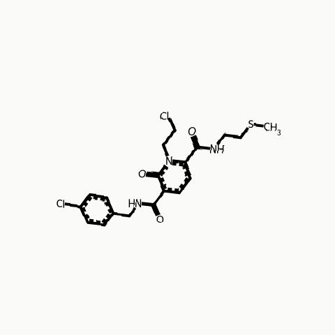 CSCCNC(=O)c1ccc(C(=O)NCc2ccc(Cl)cc2)c(=O)n1CCCl